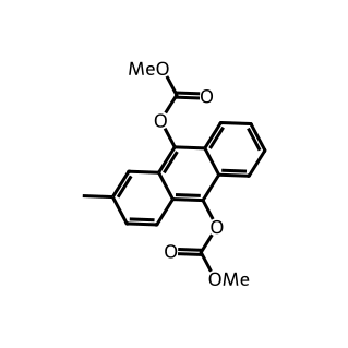 COC(=O)Oc1c2ccccc2c(OC(=O)OC)c2cc(C)ccc12